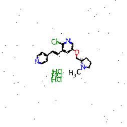 CN1CCC[C@@H]1COc1cnc(Cl)c(C=Cc2ccncc2)c1.Cl.Cl.Cl